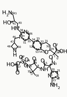 CC(O/N=C(\C(=O)NC1C(=O)N(OS(=O)(=O)[O-])C1(C)C)c1csc(N)n1)(C(=O)O)C1CCc2cc(-c3cnc(NCC(O)CN)[n+](CC4CNC4)c3)ccc2O1.O=CO